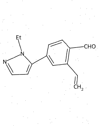 C=Cc1cc(-c2ccnn2CC)ccc1C=O